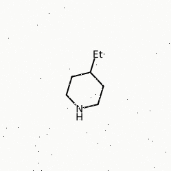 C[CH]C1CCNCC1